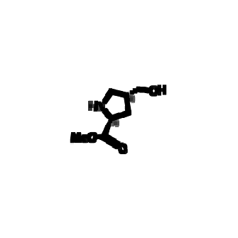 COC(=O)[C@@H]1C[C@@H](CO)CN1